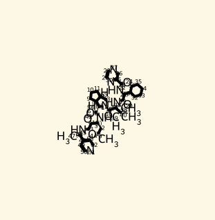 CCC[C@H](NC(=O)[C@@H]1[C@H]2CCC[C@H]2CN1C(=O)[C@@H](NC(=O)[C@@H](NC(=O)c1cnccn1)C1CCCCC1)C(C)(C)C)C(=O)C(=O)N[C@@H](C)c1ccncc1